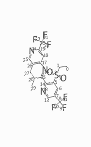 CCS(=O)(=O)c1cc(C(F)(F)F)cnc1C1=Nc2cc(C(F)(F)F)ncc2CC1C